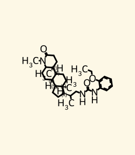 CCOc1ccccc1NC(=O)NCC(C)[C@H]1CC[C@H]2[C@@H]3CCC4N(C)C(=O)CC[C@]4(C)[C@H]3CC[C@]12C